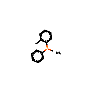 B.Cc1ccccc1P(C)c1ccccc1